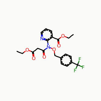 CCOC(=O)CC(=O)N(OCc1ccc(C(F)(F)F)cc1)c1ncccc1C(=O)OCC